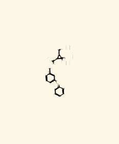 C=CC1C(C(=O)OCc2cccc(Oc3ccccc3)c2)C1(C)C